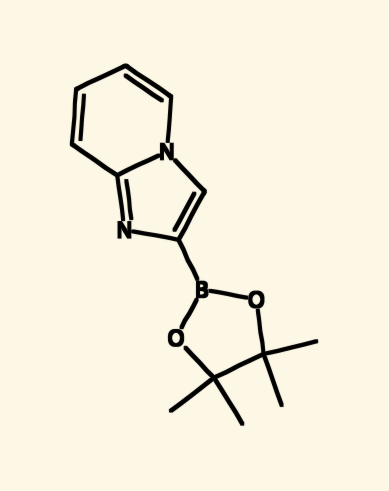 CC1(C)OB(c2cn3ccccc3n2)OC1(C)C